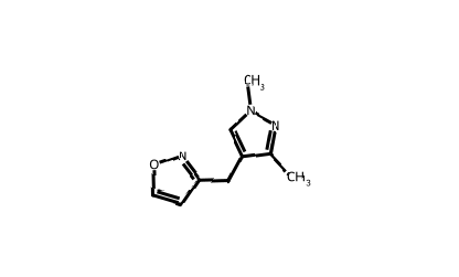 Cc1nn(C)cc1Cc1ccon1